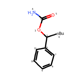 CCCCC(OC(N)=O)c1ccccc1